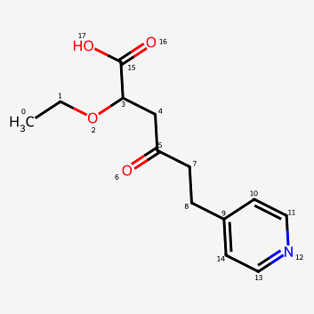 CCOC(CC(=O)CCc1ccncc1)C(=O)O